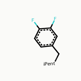 CCCC(C)Cc1ccc(F)c(F)c1